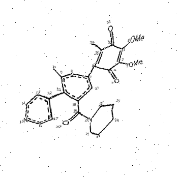 COC1=C(OC)C(=O)C(c2cc(C)c(-c3ccncc3)c(C(=O)N3CCCCC3)c2)=C(C)C1=O